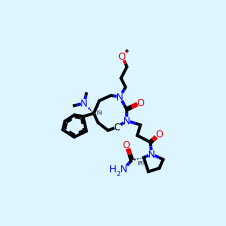 COCCCN1CC[C@@](c2ccccc2)(N(C)C)CCCN(CCC(=O)N2CCC[C@@H]2C(N)=O)C1=O